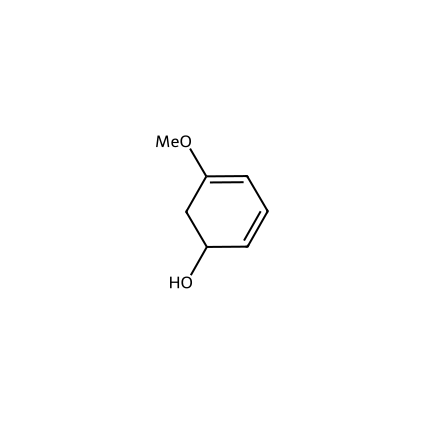 COC1=CC=CC(O)C1